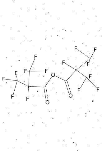 O=C(OC(=O)C(F)(C(F)(F)F)C(F)(F)F)C(F)(C(F)(F)F)C(F)(F)F